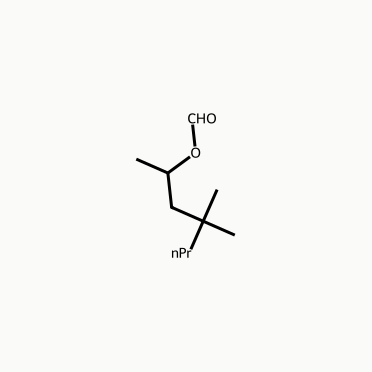 CCCC(C)(C)CC(C)OC=O